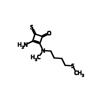 CSCCCCN(C)c1c(N)c(=S)c1=O